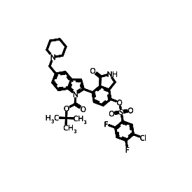 CC(C)(C)OC(=O)n1c(-c2ccc(OS(=O)(=O)c3cc(Cl)c(F)cc3F)c3c2C(=O)NC3)cc2cc(CN3CCCCC3)ccc21